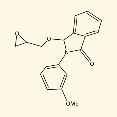 COc1cccc(N2C(=O)c3ccccc3C2OCC2CO2)c1